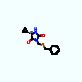 O=C1N[C@@H](C2CC2)C(=O)N1CSCc1ccccc1